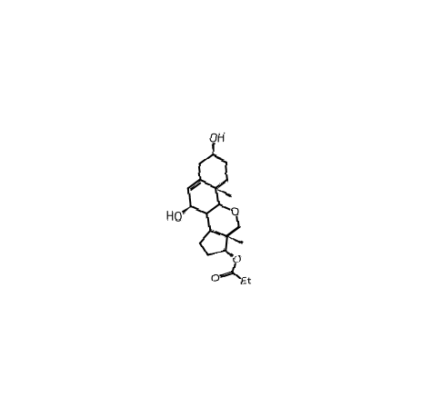 CCC(=O)O[C@H]1CCC2C3C(OC[C@@]21C)[C@@]1(C)CC[C@H](O)CC1=C[C@@H]3O